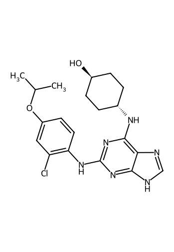 CC(C)Oc1ccc(Nc2nc(N[C@H]3CC[C@H](O)CC3)c3nc[nH]c3n2)c(Cl)c1